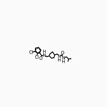 CC(C)CNC(=O)NCC1CCC(CNC(=O)c2cccc(Cl)c2Cl)CC1